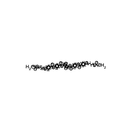 C=CC(=O)OCCCCOc1ccc(C(=O)Oc2ccc(C(=O)O[C@H]3COC4C3OC[C@@H]4OC(=O)c3ccc(OC(=O)c4ccc(OCCCCOC(=O)C=C)cc4)cc3)cc2)cc1